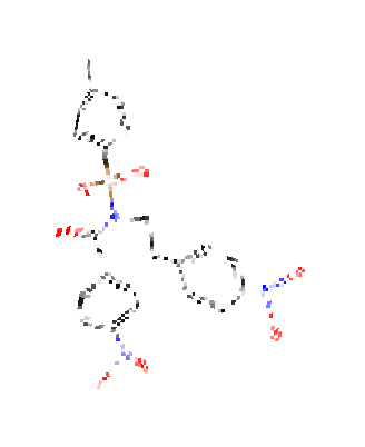 Cc1ccc(S(=O)(=O)N(CCc2ccc([N+](=O)[O-])cc2)C(=O)c2ccc([N+](=O)[O-])cc2)cc1